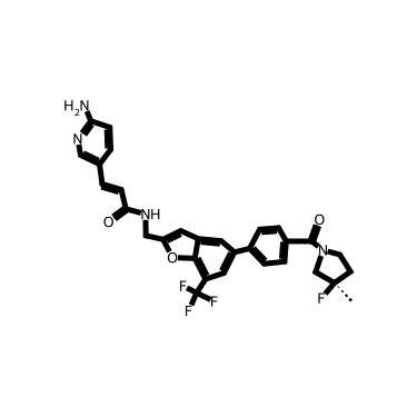 C[C@@]1(F)CCN(C(=O)c2ccc(-c3cc(C(F)(F)F)c4oc(CNC(=O)/C=C/c5ccc(N)nc5)cc4c3)cc2)C1